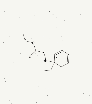 CCOC(=O)CN[C@@]1(CC)C=CC=CC1